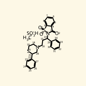 CS(=O)(=O)O.O=C1c2ccccc2S(=O)(=O)N1C(CCN1CCSC(c2ccccc2)C1)c1ccccc1